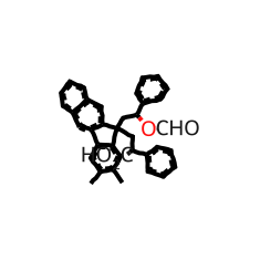 Cc1cc2c(cc1C)C(CC(OC=O)c1ccccc1)(CC(C(=O)O)c1ccccc1)c1cc3ccccc3cc1-2